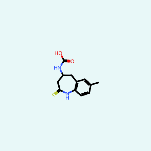 Cc1ccc2c(c1)CC(NC(=O)O)CC(=S)N2